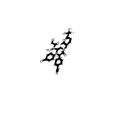 Cc1nc(C(F)(F)F)ccc1CN1C=C(N(N)C(=O)CCl)N(c2ccc(Cl)cc2)C(c2ccc(C#N)cc2)C1=O